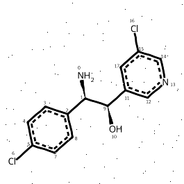 N[C@H](c1ccc(Cl)cc1)[C@H](O)c1cncc(Cl)c1